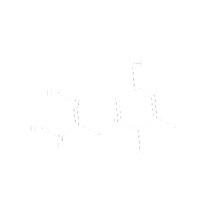 ON=C(Cc1cc(O)cc(O)c1O)NO